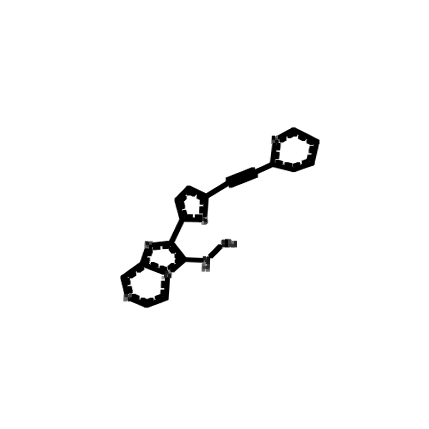 CC(C)(C)Nc1c(-c2ccc(C#Cc3ccccn3)s2)nc2cnccn12